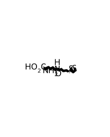 N[C@@H](CCCCNC(=O)CCCC[C@@H]1CCSS1)C(=O)O